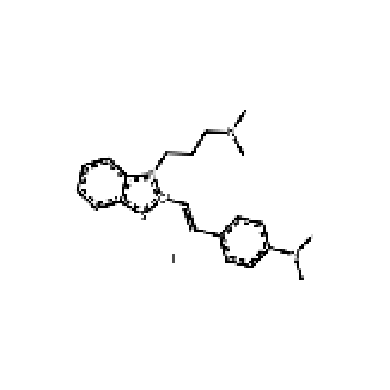 CN(C)CCCn1c2ccccc2s[c+]1C=Cc1ccc(N(C)C)cc1.[I-]